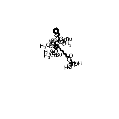 CC(C)(C)[Si](C)(C)OC(CC[C@@H]1[C@@H](CCCCCCC(=O)OCC(CO)(CO)CO)[C@@H](O[Si](C)(C)C(C)(C)C)C[C@H]1O[Si](C)(C)C(C)(C)C)c1cc2ccccc2s1